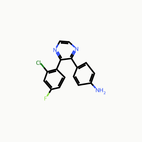 Nc1ccc(-c2nccnc2-c2ccc(F)cc2Cl)cc1